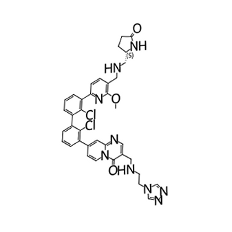 COc1nc(-c2cccc(-c3cccc(-c4ccn5c(=O)c(CNCCn6cnnc6)cnc5c4)c3Cl)c2Cl)ccc1CNC[C@@H]1CCC(=O)N1